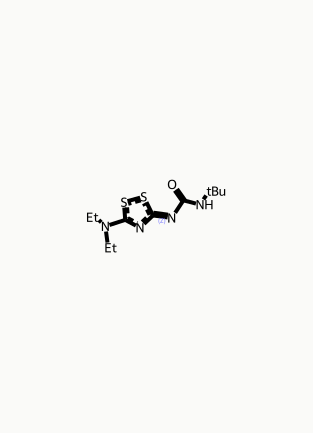 CCN(CC)c1n/c(=N/C(=O)NC(C)(C)C)ss1